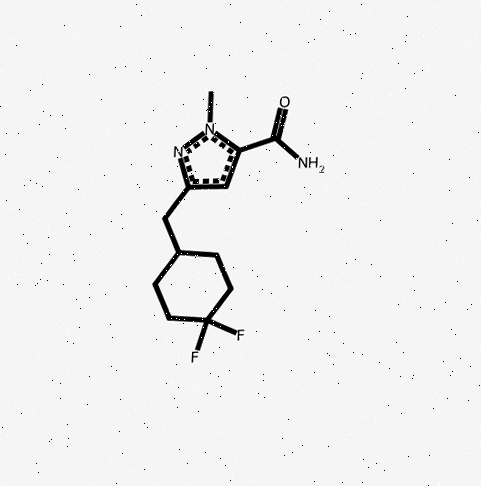 Cn1nc(CC2CCC(F)(F)CC2)cc1C(N)=O